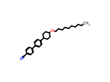 CCCCCCCCCCOC1CCC(c2ccc(-c3ccc(C#N)cc3)cc2)CC1